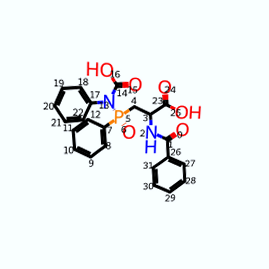 O=C(NC(CP(=O)(c1ccccc1)N(C(=O)O)c1ccccc1)C(=O)O)c1ccccc1